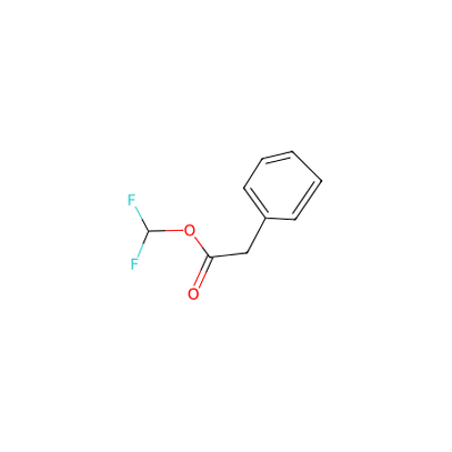 O=C(Cc1ccccc1)OC(F)F